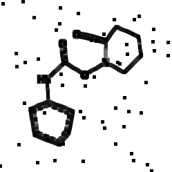 O=C(Nc1ccccc1)ON1CCCCC1=O